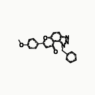 COc1ccc(-c2cc(=O)c3c(ccc4nnn(Cc5ccccc5)c43)o2)cc1